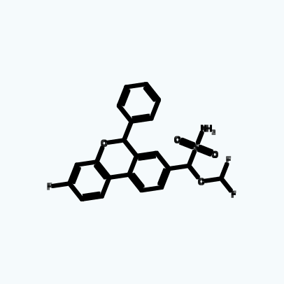 NS(=O)(=O)C(OC(F)F)c1ccc2c(c1)C(c1ccccc1)Oc1cc(F)ccc1-2